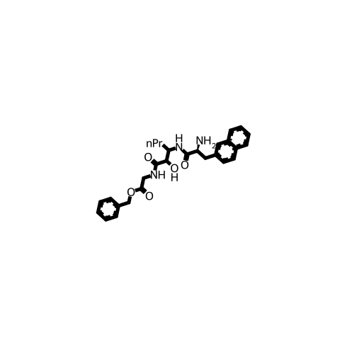 CCCC(NC(=O)[C@@H](N)Cc1ccc2ccccc2c1)C(O)C(=O)NCC(=O)OCc1ccccc1